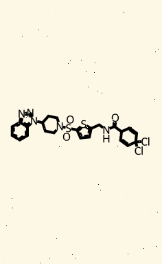 O=C(NCc1ccc(S(=O)(=O)N2CCC(n3nnc4ccccc43)CC2)s1)C1C=CC(Cl)(Cl)C=C1